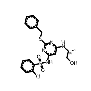 C[C@H](CO)Nc1cc(NS(=O)(=O)c2ccccc2Cl)nc(SCc2ccccc2)n1